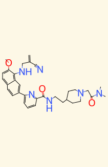 C=C(C#N)CNc1c(OC)ccc2ccc(-c3cccc(C(=O)NCCC4CCN(CC(=O)N(C)C)CC4)n3)cc12